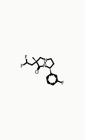 C[C@@]1(CC(F)F)CN2CC[C@@H](c3cccc(F)c3)N2C1=O